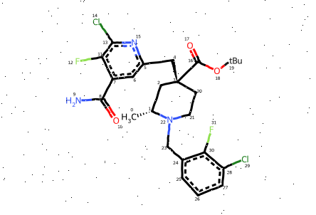 C[C@@H]1C[C@](Cc2cc(C(N)=O)c(F)c(Cl)n2)(C(=O)OC(C)(C)C)CCN1Cc1cccc(Cl)c1F